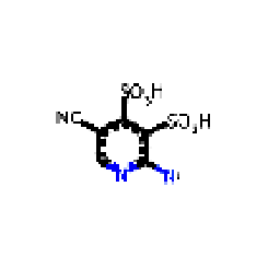 [N]c1ncc(C#N)c(S(=O)(=O)O)c1S(=O)(=O)O